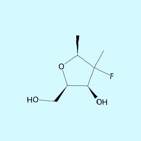 C[C@@H]1O[C@H](CO)[C@H](O)C1(C)F